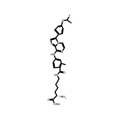 COC(=O)[C@@H](N)CCCCNC(=O)c1ccc(Nc2nccn3c(-c4ccc(OC(F)F)cc4)cnc23)cc1C